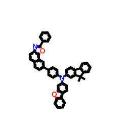 CC1(C)c2ccccc2-c2ccc(N(c3ccc(-c4ccc5ccc6nc(-c7ccccc7)oc6c5c4)cc3)c3ccc4c(c3)oc3ccccc34)cc21